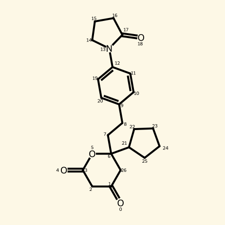 O=C1CC(=O)OC(CCc2ccc(N3CCCC3=O)cc2)(C2CCCC2)C1